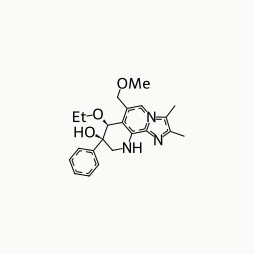 CCO[C@H]1c2c(COC)cn3c(C)c(C)nc3c2NC[C@]1(O)c1ccccc1